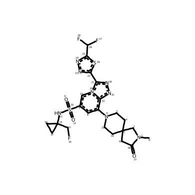 CN1CC2(CCN(c3cc(S(=O)(=O)NC4(CF)CC4)cn4c(-c5nnc(C(F)F)s5)nnc34)CC2)CC1=O